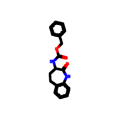 O=C(NC1CCc2ccccc2NC1=O)OCc1ccccc1